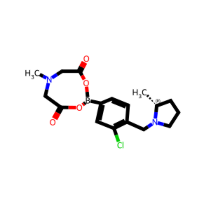 C[C@@H]1CCCN1Cc1ccc(B2OC(=O)CN(C)CC(=O)O2)cc1Cl